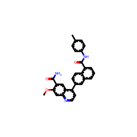 COc1cc2nccc(-c3ccc4c(C(=O)Nc5ccc(C)cc5)cccc4c3)c2cc1C(N)=O